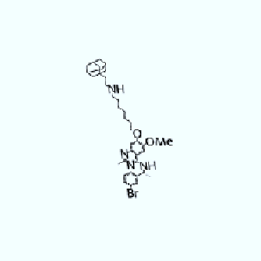 COc1cc2c(N[C@H](C)c3cccc(Br)c3)nc(C)nc2cc1OCCCCCCCNCCC12CC3CC(CC(C3)C1)C2